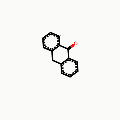 O=C1c2[c]cccc2Cc2ccccc21